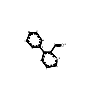 O=[C]c1ncccc1-c1ccccc1